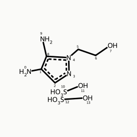 Nc1cnn(CCO)c1N.O=S(=O)(O)O.O=S(=O)(O)O